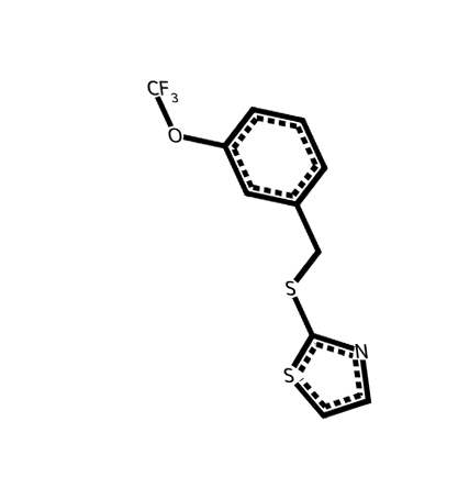 FC(F)(F)Oc1cccc(CSc2nccs2)c1